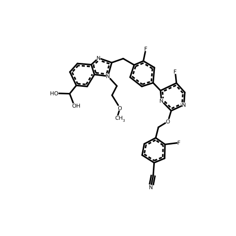 COCCn1c(Cc2ccc(-c3nc(OCc4ccc(C#N)cc4F)ncc3F)cc2F)nc2ccc(C(O)O)cc21